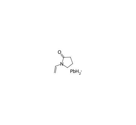 C=CN1CCCC1=O.[PbH2]